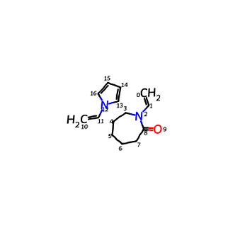 C=CN1CCCCCC1=O.C=Cn1cccc1